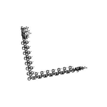 O=[Si]([O-])[O-].O=[Si]([O-])[O-].O=[Si]([O-])[O-].O=[Si]([O-])[O-].O=[Si]([O-])[O-].O=[Si]([O-])[O-].O=[Si]([O-])[O-].O=[Si]([O-])[O-].O=[Si]([O-])[O-].O=[Si]([O-])[O-].O=[Si]([O-])[O-].O=[Si]([O-])[O-].O=[Si]([O-])[O-].O=[Si]([O-])[O-].O=[Si]([O-])[O-].[Al+3].[Al+3].[Ca+2].[Ca+2].[Fe+3].[Fe+3].[Mg+2].[Mg+2].[Na+].[Na+].[Ti+4].[Ti+4]